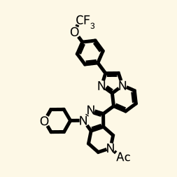 CC(=O)N1CCc2c(c(-c3cccn4cc(-c5ccc(OC(F)(F)F)cc5)nc34)nn2C2CCOCC2)C1